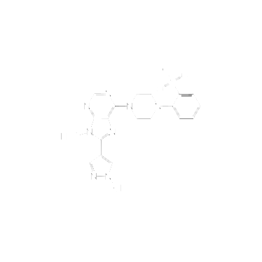 Cn1cc(-c2nc3c(N4CCN(c5ccccc5S(C)(=O)=O)CC4)ncnc3n2C)cn1